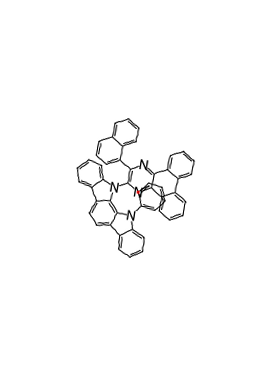 c1ccc(-n2c3ccccc3c3ccc4c5ccccc5n(-c5nc6c7ccccc7c7ccccc7c6nc5-c5cccc6ccccc56)c4c32)cc1